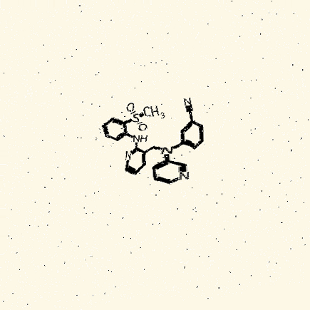 CS(=O)(=O)c1ccccc1Nc1ncccc1CN(c1cccnc1)c1cccc(C#N)c1